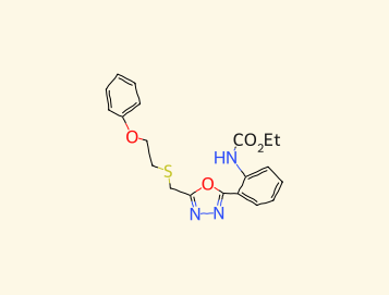 CCOC(=O)Nc1ccccc1-c1nnc(CSCCOc2ccccc2)o1